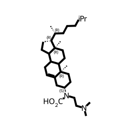 CC(C)CCC[C@@H](C)[C@H]1CCC2C3CC=C4C[C@@H](N(CCN(C)C)C(=O)O)CC[C@]4(C)C3CC[C@@]21C